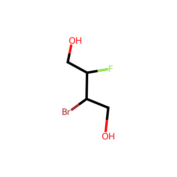 OCC(F)C(Br)CO